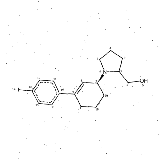 OCC1CCCN1[C@@H]1C=C(c2ccc(I)cc2)CCC1